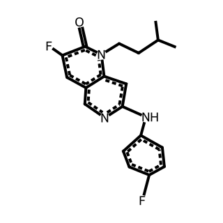 CC(C)CCn1c(=O)c(F)cc2cnc(Nc3ccc(F)cc3)cc21